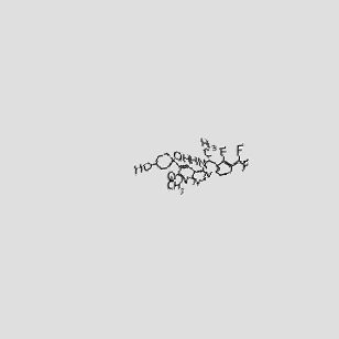 COc1nc2ncnc(N[C@H](C)c3cccc(C(F)F)c3F)c2cc1C1(O)CCC(O)CC1